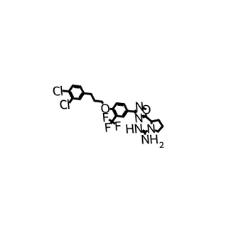 N=C(N)N1CCCC1c1nc(-c2ccc(OCCCc3ccc(Cl)c(Cl)c3)c(C(F)(F)F)c2)no1